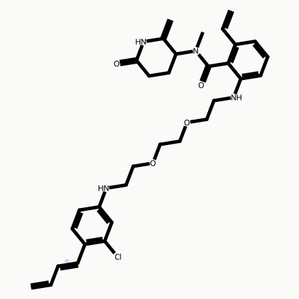 C=C/C=C/c1ccc(NCCOCCOCCNc2cccc(C=C)c2C(=O)N(C)C2CCC(=O)NC2=C)cc1Cl